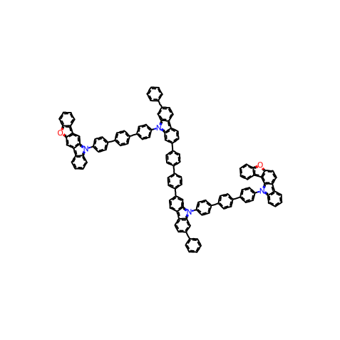 c1ccc(-c2ccc3c4ccc(-c5ccc(-c6ccc(-c7ccc8c9ccc(-c%10ccccc%10)cc9n(-c9ccc(-c%10ccc(-c%11ccc(-n%12c%13ccccc%13c%13ccc%14oc%15ccccc%15c%14c%13%12)cc%11)cc%10)cc9)c8c7)cc6)cc5)cc4n(-c4ccc(-c5ccc(-c6ccc(-n7c8ccccc8c8cc9oc%10ccccc%10c9cc87)cc6)cc5)cc4)c3c2)cc1